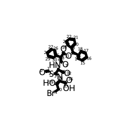 O=CSC1C(NC(=O)C(C(=O)OC(c2ccccc2)c2ccccc2)c2ccccc2)C(=O)N1C(C(=O)O)=C(O)CBr